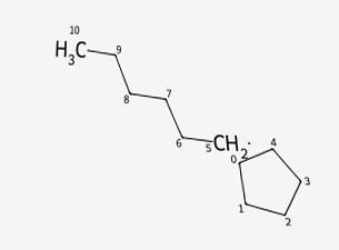 C1CCCC1.[CH2]CCCCC